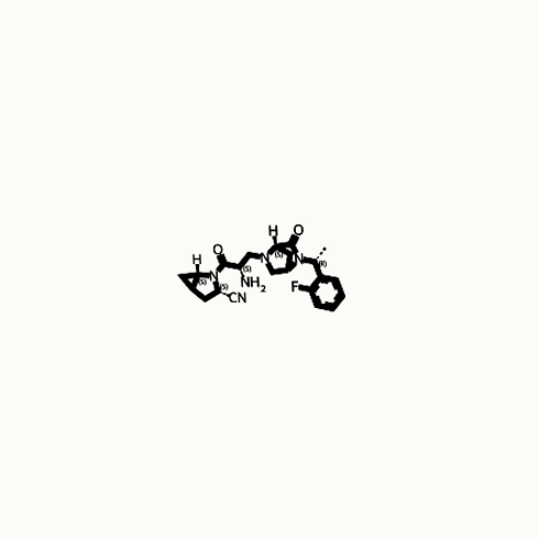 C[C@H](c1ccccc1F)N1C(=O)[C@@H]2CC1CN2C[C@H](N)C(=O)N1[C@H](C#N)CC2C[C@@H]21